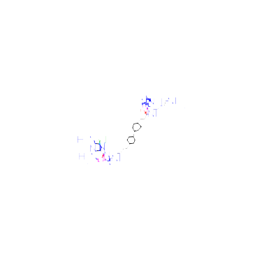 N=C(NCCCCc1ccc(-c2ccc(CCC(=O)NC(CCCCN)c3nnn[nH]3)cc2)cc1)NC(=O)c1nc(Cl)c(N)nc1N